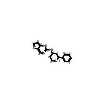 c1ccc(C2CC(Nc3ncc4nccc-4[nH]3)CCN2)cc1